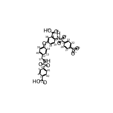 O=C(O)c1ccc(S(=O)(=O)NCc2ccc(Oc3ccc(NS(=O)(=O)c4ccc([N+](=O)[O-])cc4)c(C(=O)O)c3)cc2)cc1